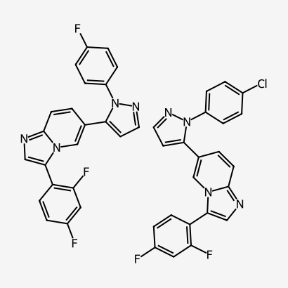 Fc1ccc(-c2cnc3ccc(-c4ccnn4-c4ccc(Cl)cc4)cn23)c(F)c1.Fc1ccc(-n2nccc2-c2ccc3ncc(-c4ccc(F)cc4F)n3c2)cc1